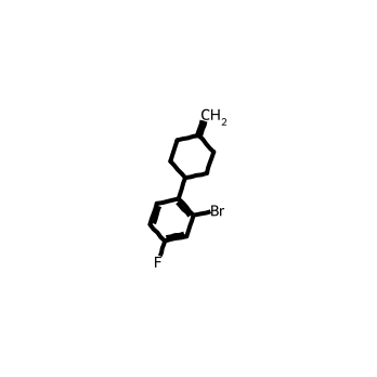 C=C1CCC(c2ccc(F)cc2Br)CC1